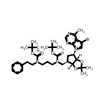 Cc1ncnc2c1c(Br)cn2[C@@H]1C[C@H](CN(CCCN(CCc2ccccc2)C(=O)OC(C)(C)C)C(=O)OC(C)(C)C)[C@H]2OC(C)(C)O[C@H]21